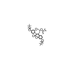 CSC(=S)OC1COc2cc(O[Si](C)(C)C(C)(C)C)ccc2-c2c(c3ccc(O[Si](C)(C)C(C)(C)C)cc3oc2=O)C1